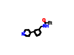 CCC(=O)NCc1cccc(-c2ccncc2)c1